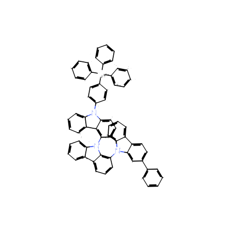 c1ccc(-c2ccc3c4ccccc4n(-c4cccc5c6ccccc6n(-c6cccc7c6c6ccccc6n7-c6ccc([Si](c7ccccc7)(c7ccccc7)c7ccccc7)cc6)c45)c3c2)cc1